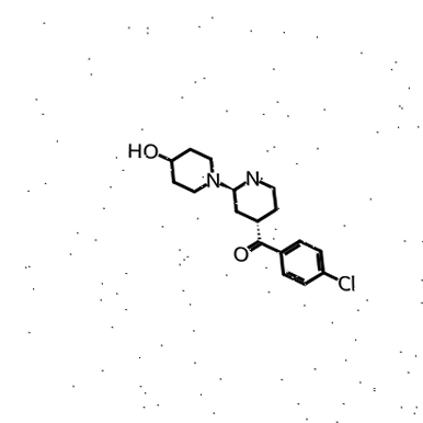 O=C(c1ccc(Cl)cc1)[C@H]1CC[N][C@H](N2CCC(O)CC2)C1